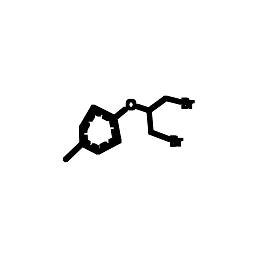 Cc1ccc(OC(CBr)CBr)cc1